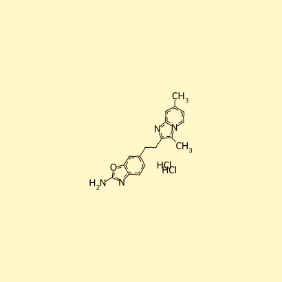 Cc1ccn2c(C)c(CCc3ccc4nc(N)oc4c3)nc2c1.Cl.Cl